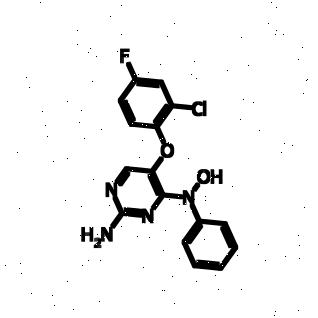 Nc1ncc(Oc2ccc(F)cc2Cl)c(N(O)c2ccccc2)n1